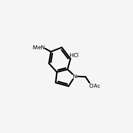 CNc1ccc2c(ccn2COC(C)=O)c1.Cl